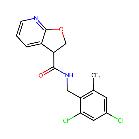 O=C(NCc1c(Cl)cc(Cl)cc1C(F)(F)F)C1COc2ncccc21